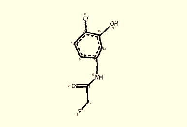 O=C(CF)Nc1ccc(Cl)c(O)c1